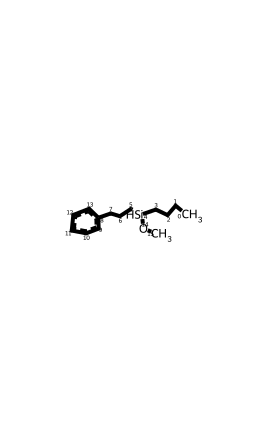 CCCC[SiH](CCCc1ccccc1)OC